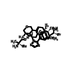 Cc1cc(-c2ncnn2[C@@H]2C[C@@]34COC[C@](C)([C@@H]3CC[C@H]3C4=CC[C@@]4(C)[C@H](C(=O)O)[C@@](C)([C@H](C)C(C)C)CC[C@]34C)[C@H]2OC[C@](C)(N)C(C)(C)C)ccn1